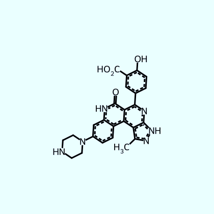 Cc1n[nH]c2nc(-c3ccc(O)c(C(=O)O)c3)c3c(=O)[nH]c4cc(N5CCNCC5)ccc4c3c12